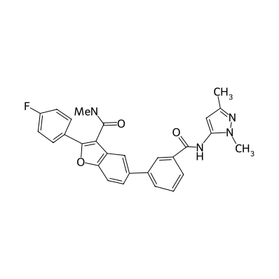 CNC(=O)c1c(-c2ccc(F)cc2)oc2ccc(-c3cccc(C(=O)Nc4cc(C)nn4C)c3)cc12